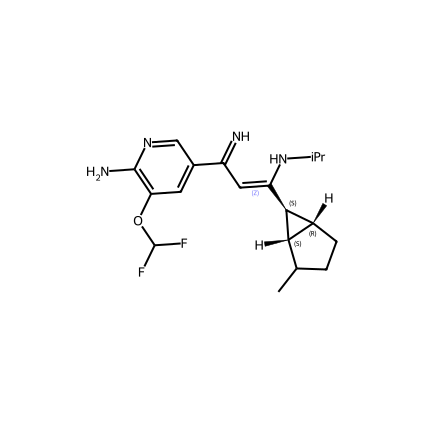 CC(C)N/C(=C\C(=N)c1cnc(N)c(OC(F)F)c1)[C@H]1[C@@H]2CCC(C)[C@@H]21